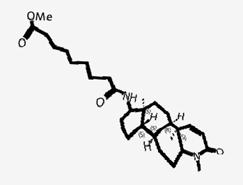 COC(=O)CCCCCCCC(=O)NC1CC[C@H]2[C@@H]3CCC4N(C)C(=O)C=C[C@]4(C)[C@@H]3CC[C@]12C